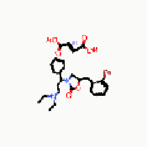 CCN(CC)CCC(c1ccccc1)N1CC(Cc2ccccc2Br)OC1=O.O=C(O)/C=C/C(=O)O